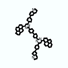 c1cnc2ccc(-c3ccc(-c4cc(-c5ccc6ccc7cccc8ccc5c6c78)nc(-c5ccc(-c6ccc(-c7nc(-c8ccc(-c9ccc%10ncccc%10c9)cc8)cc(-c8ccc9ccc%10cccc%11ccc8c9c%10%11)n7)cc6)cc5)n4)cc3)cc2c1